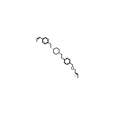 C/C=C\c1ccc(CC[C@H]2CC[C@H](CCc3ccc(COC/C=C/C)cc3)CC2)cc1